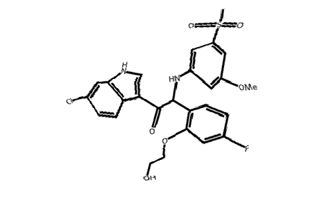 COc1cc(NC(C(=O)c2c[nH]c3cc(Cl)ccc23)c2ccc(F)cc2OCCO)cc(S(C)(=O)=O)c1